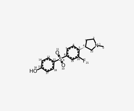 CN1CC[C@@H](c2ccc(S(=O)(=O)c3ccc(O)cc3)cc2F)C1